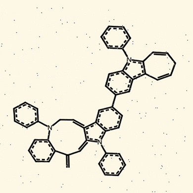 C=C1/C=c2\c(c3cc(-c4ccc5c(c4)c4c(n5-c5ccccc5)C=CCC=C4)ccc3n2-c2ccccc2)=C/CN(c2ccccc2)c2ccccc21